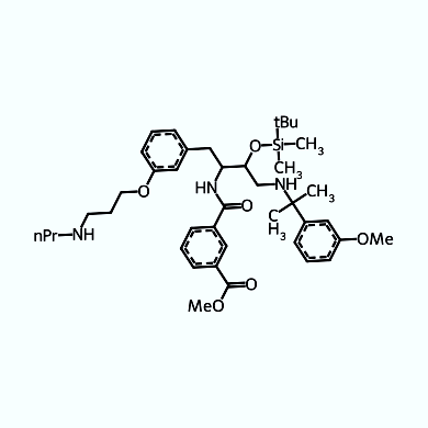 CCCNCCCOc1cccc(CC(NC(=O)c2cccc(C(=O)OC)c2)C(CNC(C)(C)c2cccc(OC)c2)O[Si](C)(C)C(C)(C)C)c1